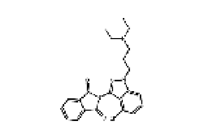 CCN(CC)CCCn1nc(N2C(=O)c3ccccc3C2=O)c2c(Cl)cccc21